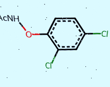 CC(=O)NOc1ccc(Cl)cc1Cl